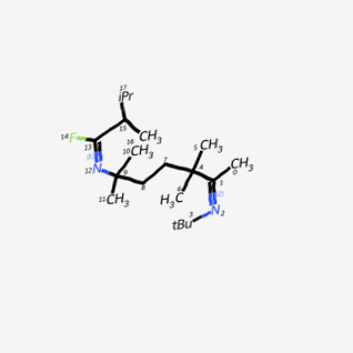 C/C(=N/C(C)(C)C)C(C)(C)CCC(C)(C)/N=C(/F)C(C)C(C)C